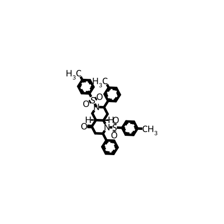 Cc1ccc(S(=O)(=O)N2C[C@H]3C(=O)CC(c4ccccc4)N(S(=O)(=O)c4ccc(C)cc4)[C@H]3CC2c2cccc(C)c2)cc1